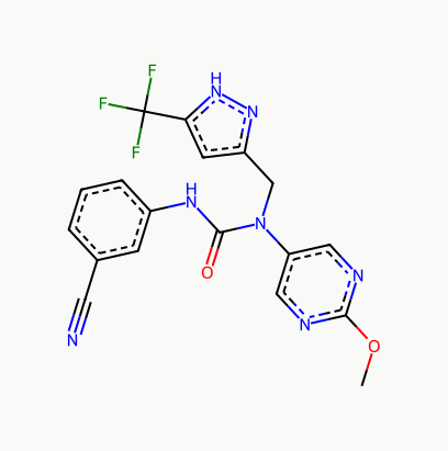 COc1ncc(N(Cc2cc(C(F)(F)F)[nH]n2)C(=O)Nc2cccc(C#N)c2)cn1